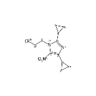 O=[N+]([O-])c1c(C2CC2)nc(C2CC2)n1CCCl